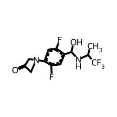 CC(NC(O)c1cc(F)c(N2CC(=O)C2)cc1F)C(F)(F)F